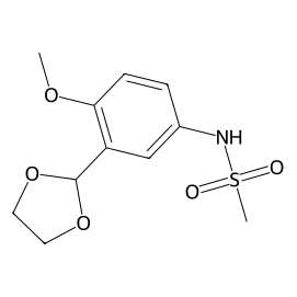 COc1ccc(NS(C)(=O)=O)cc1C1OCCO1